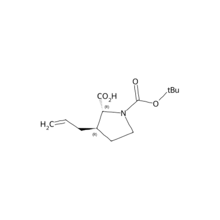 C=CC[C@@H]1CCN(C(=O)OC(C)(C)C)[C@H]1C(=O)O